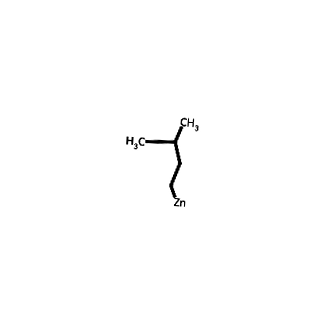 CC(C)C[CH2][Zn]